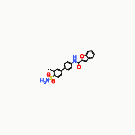 [CH2]c1cc(-c2ccc(NC(=O)c3cc4ccccc4o3)cc2)ccc1S(N)(=O)=O